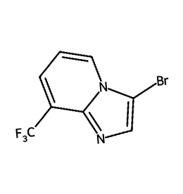 FC(F)(F)c1cccn2c(Br)cnc12